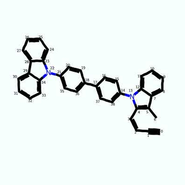 C#C/C=C\c1c(C)c2ccccc2n1-c1ccc(-c2ccc(-n3c4ccccc4c4ccccc43)cc2)cc1